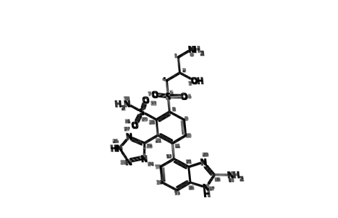 NCC(O)CS(=O)(=O)c1ccc(-c2cccc3[nH]c(N)nc23)c(-c2nn[nH]n2)c1S(N)(=O)=O